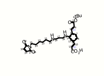 CC(C)(C)OC(=O)/C=C/c1ccc(/C=C/C(=O)O)cc1NCCCNCCCCCCN1C(=O)C=CC1=O